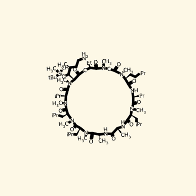 CC[C@@H]1CC(=O)[C@H](C(O[Si](C)(C)C(C)(C)C)[C@H](C)CCN)N(C)C(=O)[C@H](C(C)C)N(C)C(=O)[C@H](CC(C)C)N(C)C(=O)[C@H](CC(C)C)N(C)C(=O)[C@@H](C)NC(=O)[C@H](C)NC(=O)[C@H](CC(C)C)N(C)C(=O)[C@H](C(C)C)NC(=O)[C@H](CCC(C)C)N(C)C(=O)CN(C)C1=O